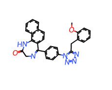 COc1ccccc1Cc1nnnn1-c1ccc(C2=NCC(=O)Nc3c2ccc2ccccc32)cc1